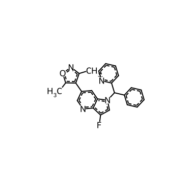 Cc1noc(C)c1-c1cnc2c(F)cn(C(c3ccccc3)c3ccccn3)c2c1